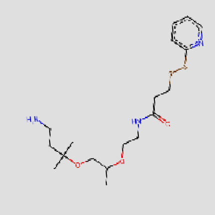 CC(COC(C)(C)CCN)OCCNC(=O)CCSSc1ccccn1